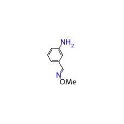 CO/N=C/c1cccc(N)c1